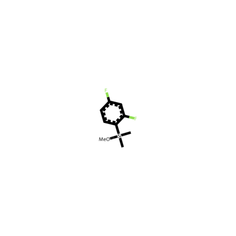 CO[Si](C)(C)c1ccc(F)cc1F